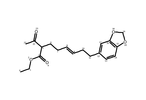 CCOC(=O)C(CCC=CCCc1ccc2c(c1)OCO2)C(C)=O